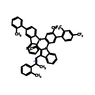 C=Cc1c(/C=C(\C)c2ccccc2C)c2ccccc2n1-c1cc(-c2ccc(C(F)(F)F)cc2C(F)(F)F)c(C#N)cc1-n1c2ccccc2c2cc(-c3ccccc3C)ccc21